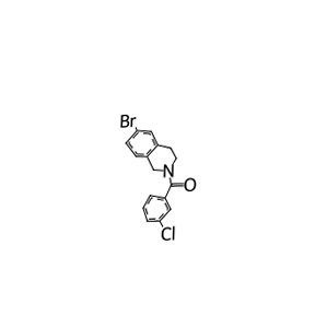 O=C(c1cccc(Cl)c1)N1CCc2cc(Br)ccc2C1